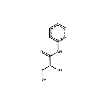 CC(C)CC(S)C(=O)Nc1ccccc1